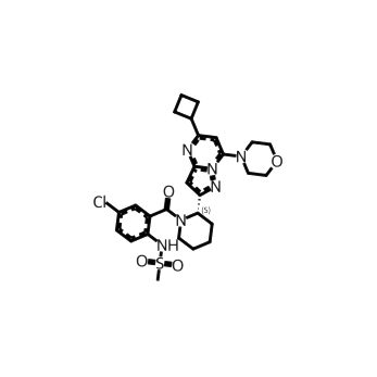 CS(=O)(=O)Nc1ccc(Cl)cc1C(=O)N1CCCC[C@H]1c1cc2nc(C3CCC3)cc(N3CCOCC3)n2n1